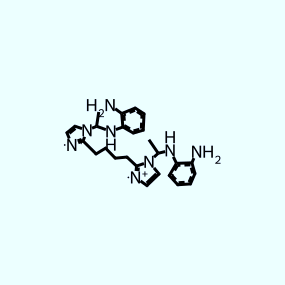 CC(Nc1ccccc1N)N1C=C[N+]=C1CCCCC1=[N+]C=CN1C(C)Nc1ccccc1N